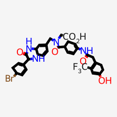 O=C(O)CN(CC1=CC2NC(=O)C(C3=CCC(Br)C=C3)NC2C=C1)C(=O)C1C=CC(NC(=O)CC2=C(C(F)(F)F)C=C(O)CC2)=CC1